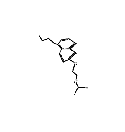 CCCCc1cccc2cc(OCCOC(C)C)ccc12